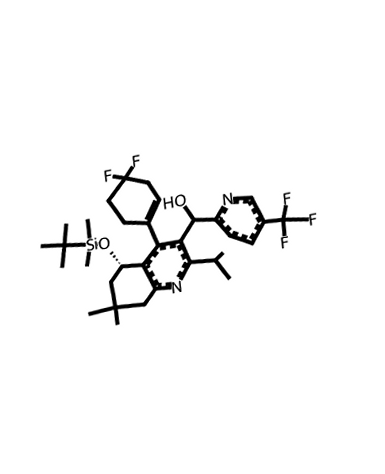 CC(C)c1nc2c(c(C3=CCC(F)(F)CC3)c1C(O)c1ccc(C(F)(F)F)cn1)[C@@H](O[Si](C)(C)C(C)(C)C)CC(C)(C)C2